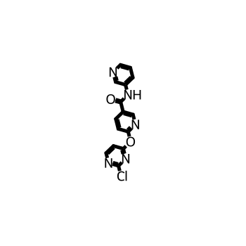 O=C(Nc1cccnc1)c1ccc(Oc2ccnc(Cl)n2)nc1